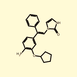 O=c1[nH]ccn1/C=C(\c1ccccc1)c1ccc(P)c(OC2CCCC2)c1